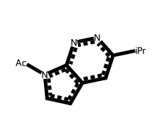 CC(=O)n1ccc2cc(C(C)C)nnc21